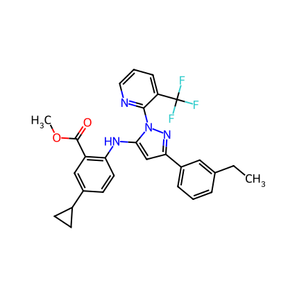 CCc1cccc(-c2cc(Nc3ccc(C4CC4)cc3C(=O)OC)n(-c3ncccc3C(F)(F)F)n2)c1